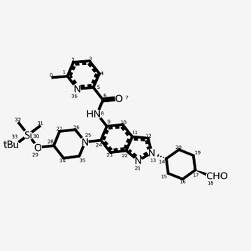 Cc1cccc(C(=O)Nc2cc3cn([C@H]4CC[C@H](C=O)CC4)nc3cc2N2CCC(O[Si](C)(C)C(C)(C)C)CC2)n1